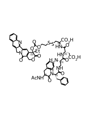 CC[C@@]1(OC(=O)OCCSSC[C@H](NC(=O)[C@H](CC(=O)O)NC(=O)[C@@H](N)CNC(=O)[C@H](Cc2ccccc2)NC(=O)[C@H](Cc2ccccc2)NC(C)=O)C(=O)O)C(=O)OCc2c1cc1n(c2=O)Cc2cc3ccccc3nc2-1